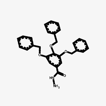 NNC(=O)c1cc(OCc2ccccc2)c(OCc2ccccc2)c(OCc2ccccc2)c1